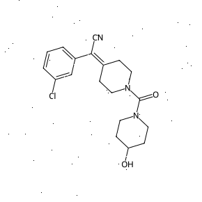 N#CC(=C1CCN(C(=O)N2CCC(O)CC2)CC1)c1cccc(Cl)c1